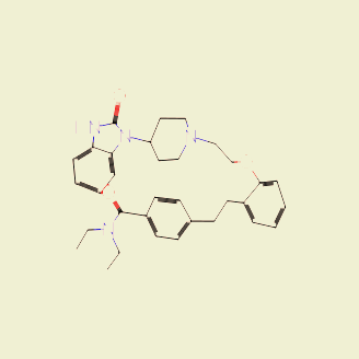 CCN(CC)C(=O)c1ccc(CCc2ccccc2OCCN2CCC(n3c(=O)[nH]c4ccccc43)CC2)cc1